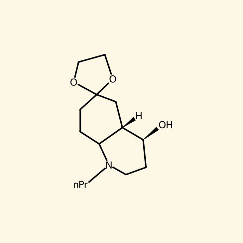 CCCN1CC[C@H](O)[C@H]2CC3(CCC21)OCCO3